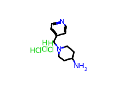 Cl.Cl.Cl.NC1CCN(Cc2ccncc2)CC1